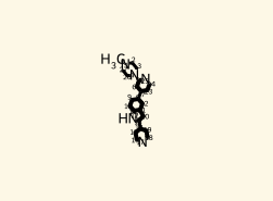 CN1CCN(c2cc(-c3ccc4[nH]c(-c5ccncc5)cc4c3)ccn2)CC1